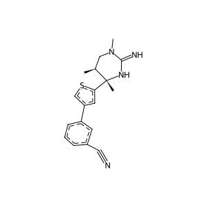 C[C@H]1CN(C)C(=N)N[C@]1(C)c1cc(-c2cccc(C#N)c2)cs1